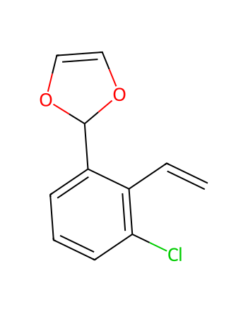 C=Cc1c(Cl)cccc1C1OC=CO1